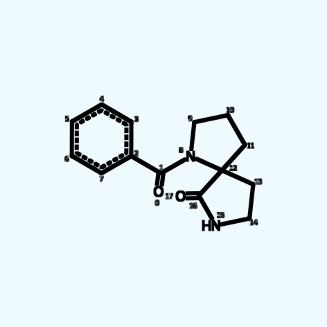 O=C(c1ccccc1)N1CCCC12CCNC2=O